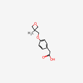 CC1(COc2ccc(CC(=O)O)cc2)COC1